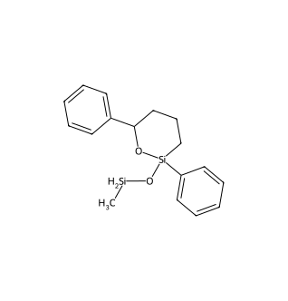 C[SiH2]O[Si]1(c2ccccc2)CCCC(c2ccccc2)O1